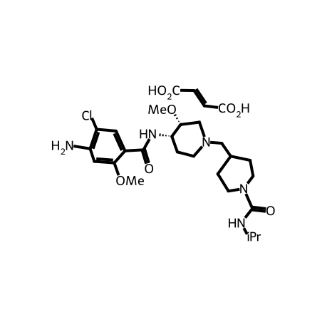 COc1cc(N)c(Cl)cc1C(=O)N[C@H]1CCN(CC2CCN(C(=O)NC(C)C)CC2)C[C@H]1OC.O=C(O)C=CC(=O)O